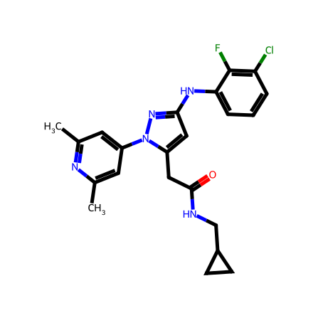 Cc1cc(-n2nc(Nc3cccc(Cl)c3F)cc2CC(=O)NCC2CC2)cc(C)n1